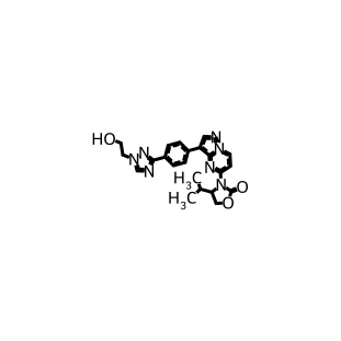 CC(C)C1COC(=O)N1c1ccn2ncc(-c3ccc(-c4ncn(CCO)n4)cc3)c2n1